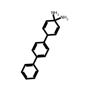 NC1(N)C=CC(c2ccc(-c3ccccc3)cc2)C=C1